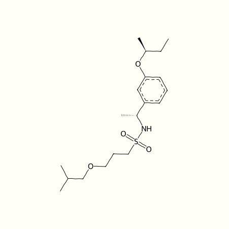 CC[C@H](C)Oc1cccc([C@@H](C)NS(=O)(=O)CCCOCC(C)C)c1